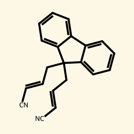 N#CC=CCC1(CC=CC#N)c2ccccc2-c2ccccc21